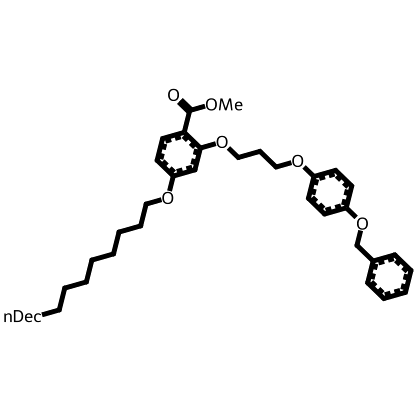 CCCCCCCCCCCCCCCCCCOc1ccc(C(=O)OC)c(OCCCOc2ccc(OCc3ccccc3)cc2)c1